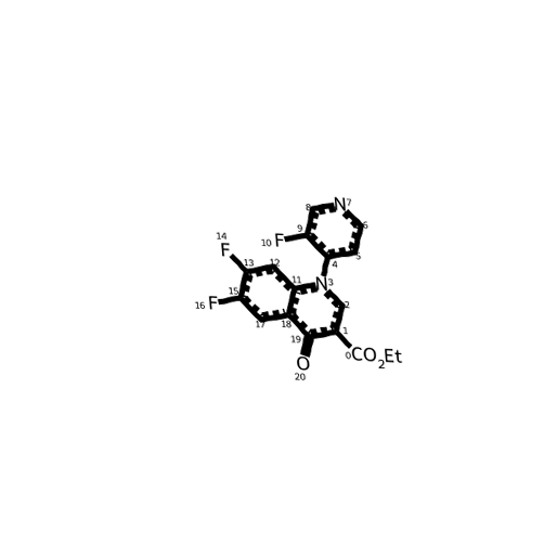 CCOC(=O)c1cn(-c2ccncc2F)c2cc(F)c(F)cc2c1=O